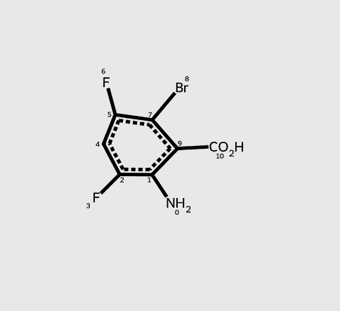 Nc1c(F)cc(F)c(Br)c1C(=O)O